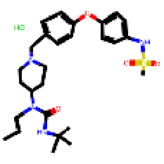 CCCN(C(=O)NC(C)(C)C)C1CCN(Cc2ccc(Oc3ccc(NS(C)(=O)=O)cc3)cc2)CC1.Cl